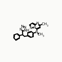 Cc1cc(N(C)c2ccc(CC(c3ccccc3)c3nnn[nH]3)cc2)n2nccc2n1